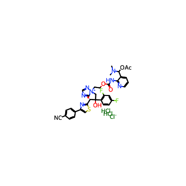 CC(=O)OC(c1cccnc1NC(=O)OCC[N+]1(C[C@](O)(c2ccc(F)cc2F)[C@@H](C)c2nc(-c3ccc(C#N)cc3)cs2)C=NC=N1)N(C)C.Cl.Cl.[Cl-]